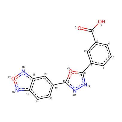 O=C(O)c1cccc(-c2nnc(-c3ccc4nonc4c3)o2)c1